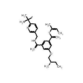 C=C(NCc1ccc(C(C)(N)F)nc1)c1cc(OC[C@H](C)CC)cc(C(=C)S/C(C)=C\C)c1